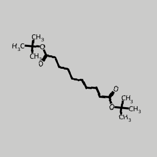 CC(C)(C)OC(=O)CCCCCCCCC(=O)OC(C)(C)C